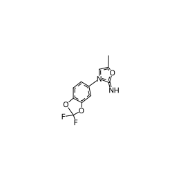 Cc1cn(-c2ccc3c(c2)OC(F)(F)O3)c(=N)o1